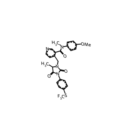 COc1ccc(N(C)C(=O)c2cnccc2CN2C(=O)N(c3ccc(SC(F)(F)F)cc3)C(=O)C2C)cc1